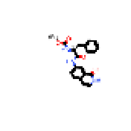 CC(C)(C)OC(=O)N[C@@H](Cc1ccccc1)C(=O)Nc1ccc2cc[nH]c(=O)c2c1